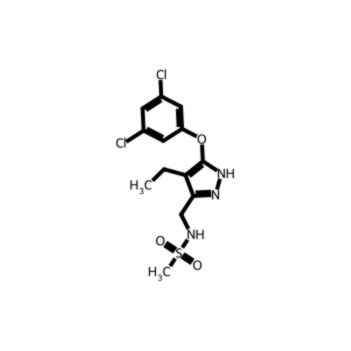 CCc1c(CNS(C)(=O)=O)n[nH]c1Oc1cc(Cl)cc(Cl)c1